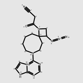 N#CCC(=O)N1CC(N=[N+]=[N-])C12CCCCN(C1=[PH]3C=CNC3=NC=N1)CC2